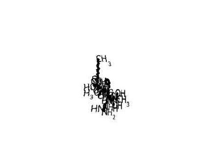 CCCCCCCCCC(=O)N[C@H](C(=O)N[C@H](C(=O)N[C@@H](Cc1ccccc1)C(=O)N[C@@H](CCCNC(=N)N)C(=O)N[C@@H](CO)C(=O)N[C@H](C)CO)C(C)C)[C@@H](C)O